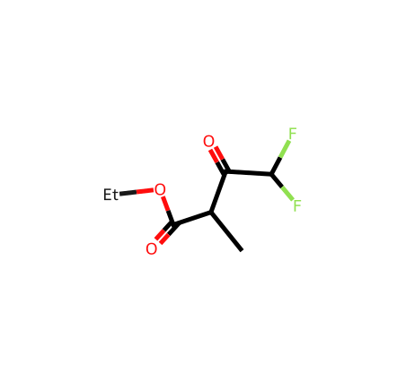 CCOC(=O)C(C)C(=O)C(F)F